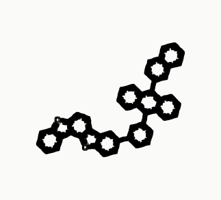 c1cc(-c2ccc3oc4c(ccc5oc6ccccc6c54)c3c2)cc(-c2c3ccccc3c(-c3ccc4ccccc4c3)c3ccccc23)c1